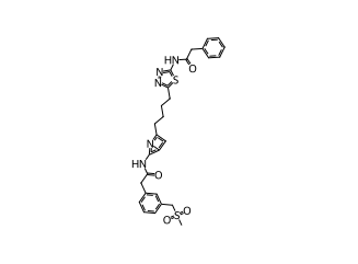 CS(=O)(=O)Cc1cccc(CC(=O)Nc2c3cc(CCCCc4nnc(NC(=O)Cc5ccccc5)s4)n2-3)c1